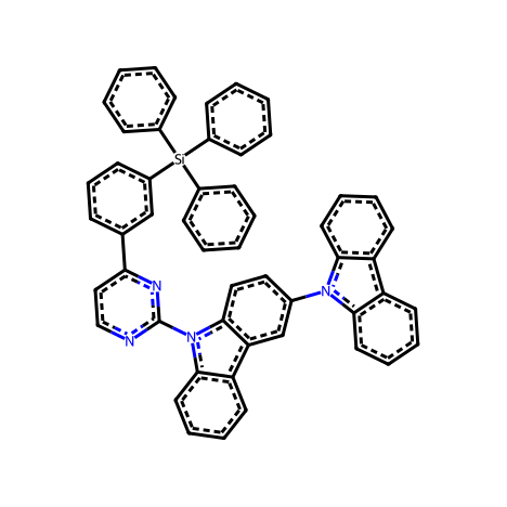 c1ccc([Si](c2ccccc2)(c2ccccc2)c2cccc(-c3ccnc(-n4c5ccccc5c5cc(-n6c7ccccc7c7ccccc76)ccc54)n3)c2)cc1